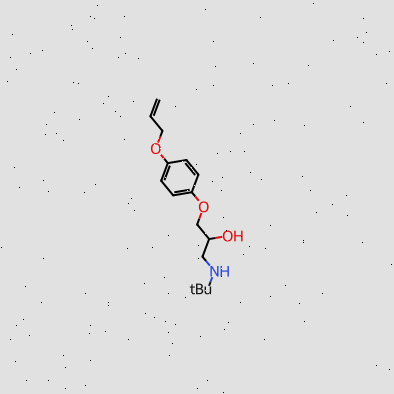 C=CCOc1ccc(OCC(O)CNC(C)(C)C)cc1